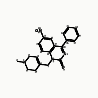 CN1CC=C(Cn2c(=O)nc(-c3ccccc3)c3cc([N+](=O)[O-])ccc32)CC1